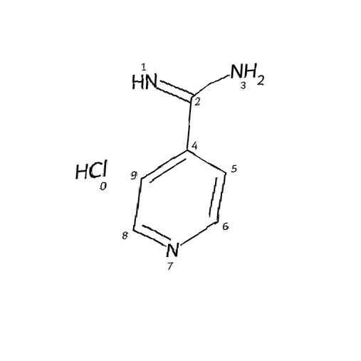 Cl.N=C(N)c1ccncc1